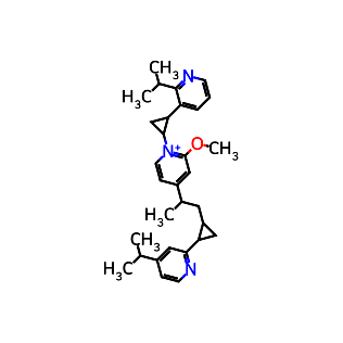 COc1cc(C(C)CC2CC2c2cc(C(C)C)ccn2)cc[n+]1C1CC1c1cccnc1C(C)C